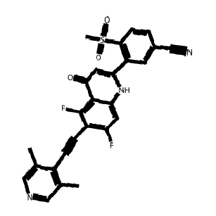 Cc1cncc(C)c1C#Cc1c(F)cc2[nH]c(-c3cc(C#N)ccc3S(C)(=O)=O)cc(=O)c2c1F